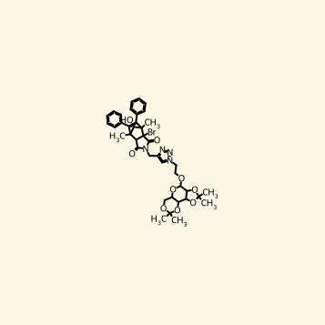 CC1(C)OCC2OC(OCCn3cc(CN4C(=O)C5C6(C)C(c7ccccc7)=C(c7ccccc7)C(C)(C6O)C5(Br)C4=O)nn3)C3OC(C)(C)OC3C2O1